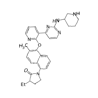 CCC1CCN(c2cccc3c(Oc4ncccc4-c4ccnc(NC5CCCNC5)n4)c(C)ccc23)C1=O